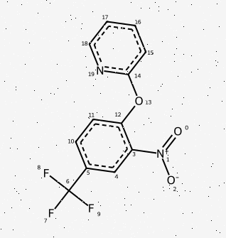 O=[N+]([O-])c1cc(C(F)(F)F)ccc1Oc1ccccn1